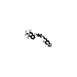 O=c1c2cccc(OC3CC4(C3)CN(CCCc3cc5nncn5cc3F)C4)c2cc(Cl)n1C(F)F